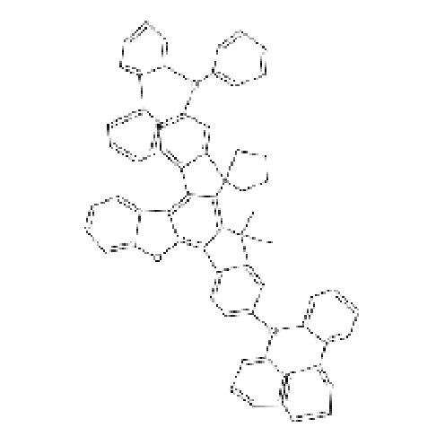 CC1(C)c2cc(N(c3ccccc3)c3ccccc3-c3ccccc3)ccc2-c2c1c1c(c3c2oc2ccccc23)-c2ccc(N(c3ccccc3)c3ccccc3-c3ccccc3)cc2C12CCCC2